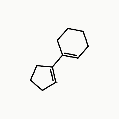 [C]1=C(C2=CCCCC2)CCC1